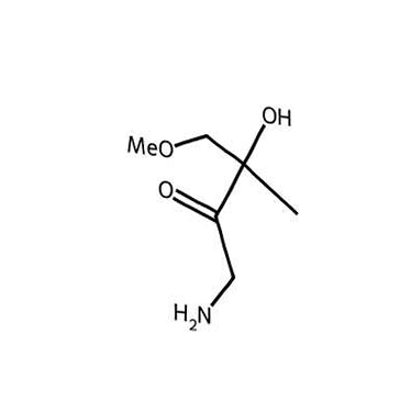 COCC(C)(O)C(=O)CN